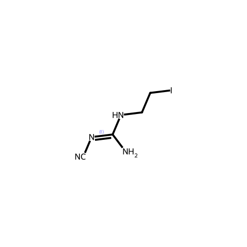 N#C/N=C(\N)NCCI